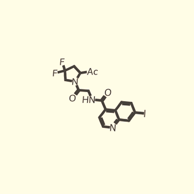 CC(=O)C1CC(F)(F)CN1C(=O)CNC(=O)c1ccnc2cc(I)ccc12